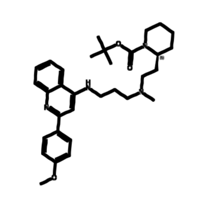 COc1ccc(-c2cc(NCCCN(C)CC[C@@H]3CCCCN3C(=O)OC(C)(C)C)c3ccccc3n2)cc1